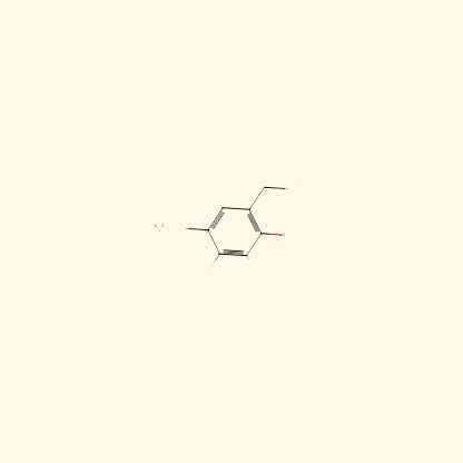 COc1cc(CC(F)(F)F)c(Br)cc1F